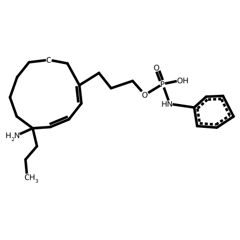 CCCC1(N)/C=C\C=C(\CCCOP(=O)(O)Nc2ccccc2)CCCCCC1